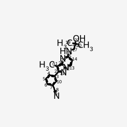 Cc1c(-c2cccc(C#N)c2)nn2ccc(NCC(C)(C)O)nc12